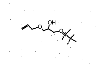 C=CCOCC(O)CO[Si](C)(C)C(C)(C)C